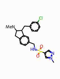 CNC1Cc2ccc(CNS(=O)(=O)c3cnn(C)c3)cc2C1Cc1cccc(Cl)c1